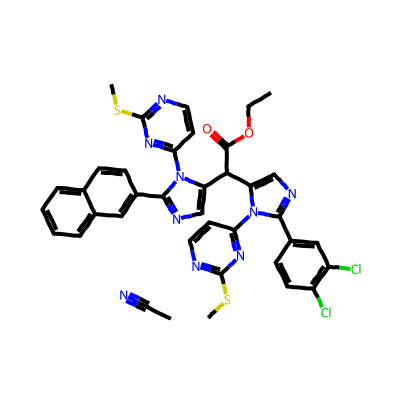 CC#N.CCOC(=O)C(c1cnc(-c2ccc(Cl)c(Cl)c2)n1-c1ccnc(SC)n1)c1cnc(-c2ccc3ccccc3c2)n1-c1ccnc(SC)n1